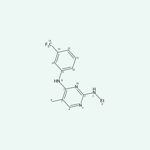 CCNc1ncc(C)c(Nc2cccc(C(F)(F)F)c2)n1